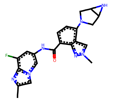 Cc1cn2cc(NC(=O)c3ccc(N4CC5NC5C4)c4cn(C)nc34)cc(F)c2n1